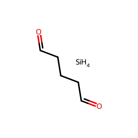 O=CCCCC=O.[SiH4]